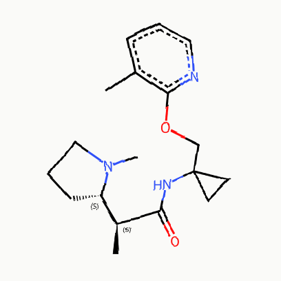 Cc1cccnc1OCC1(NC(=O)[C@@H](C)[C@@H]2CCCN2C)CC1